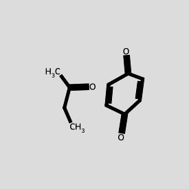 CCC(C)=O.O=C1C=CC(=O)C=C1